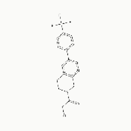 O=C(CCl)N1CCc2cc(-c3ccc(C(F)(F)F)cc3)ccc2C1